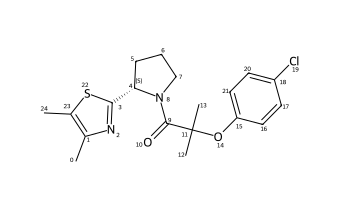 Cc1nc([C@@H]2CCCN2C(=O)C(C)(C)Oc2ccc(Cl)cc2)sc1C